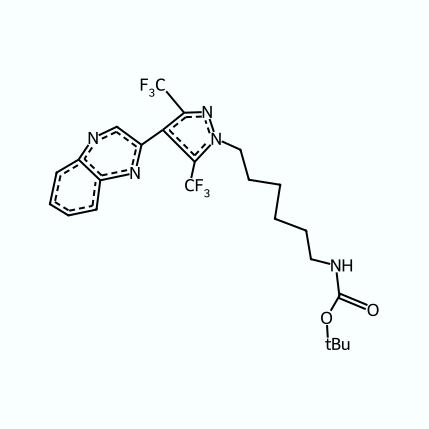 CC(C)(C)OC(=O)NCCCCCCn1nc(C(F)(F)F)c(-c2cnc3ccccc3n2)c1C(F)(F)F